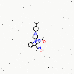 CON=Cc1c(CNC(C)=O)n(C2CCN(C3CCC(C(C)C)CC3)CC2)c2ccccc12